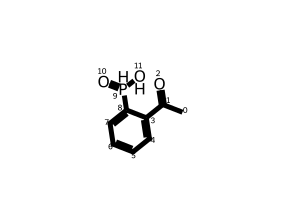 CC(=O)c1ccccc1[PH](=O)O